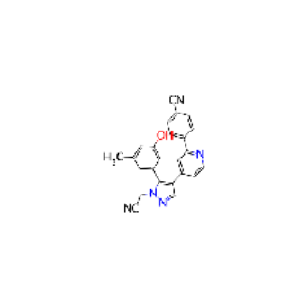 Cc1cc(O)cc(-c2c(-c3ccnc(-c4ccc(C#N)cc4)c3)cnn2CC#N)c1